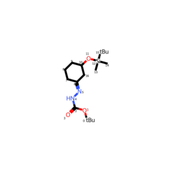 CC(C)(C)OC(=O)NN=C1CCCC(O[Si](C)(C)C(C)(C)C)C1